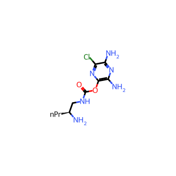 CCC[C@H](N)CNC(=O)Oc1nc(Cl)c(N)nc1N